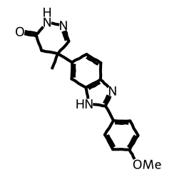 COc1ccc(-c2nc3ccc(C4(C)C=NNC(=O)C4)cc3[nH]2)cc1